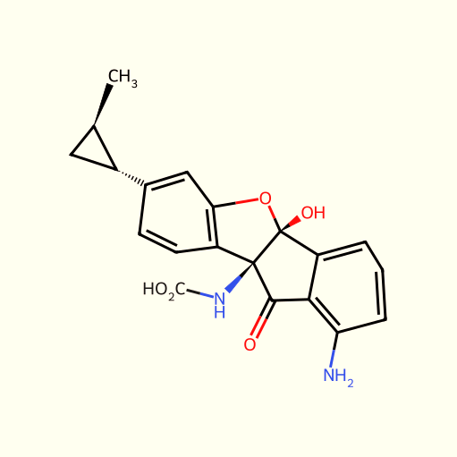 C[C@@H]1C[C@H]1c1ccc2c(c1)O[C@]1(O)c3cccc(N)c3C(=O)[C@]21NC(=O)O